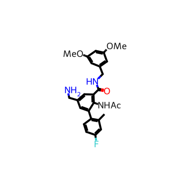 COc1cc(CNC(=O)c2cc(CN)cc(-c3ccc(F)cc3C)c2NC(C)=O)cc(OC)c1